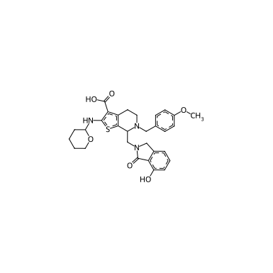 COc1ccc(CN2CCc3c(sc(NC4CCCCO4)c3C(=O)O)C2CN2Cc3cccc(O)c3C2=O)cc1